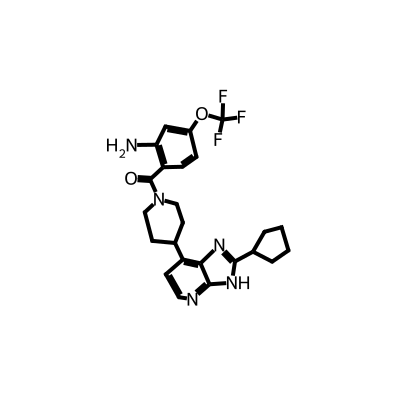 Nc1cc(OC(F)(F)F)ccc1C(=O)N1CCC(c2ccnc3[nH]c(C4CCCC4)nc23)CC1